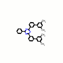 Cc1cc(C)cc(-c2cccc(-c3nc(-c4ccccc4)nc(-c4cccc(-c5cc(C)cc(C)c5)c4)n3)c2)c1